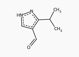 CC(C)c1n[nH]cc1C=O